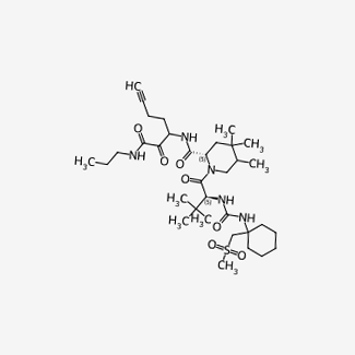 C#CCCC(NC(=O)[C@@H]1CC(C)(C)C(C)CN1C(=O)[C@@H](NC(=O)NC1(CS(C)(=O)=O)CCCCC1)C(C)(C)C)C(=O)C(=O)NCCC